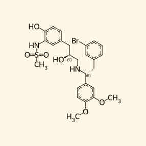 COc1ccc([C@@H](Cc2cccc(Br)c2)NC[C@@H](O)Cc2ccc(O)c(NS(C)(=O)=O)c2)cc1OC